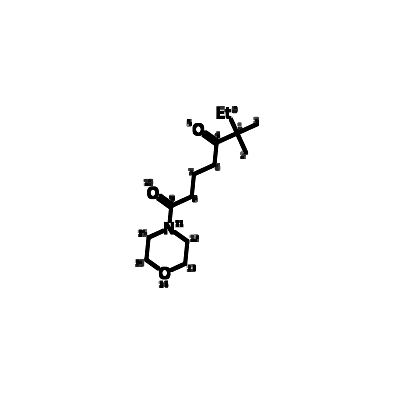 CCC(C)(C)C(=O)CCCC(=O)N1CCOCC1